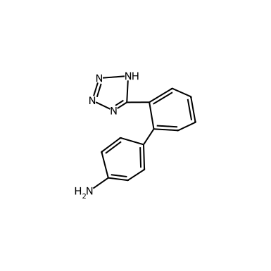 Nc1ccc(-c2ccccc2-c2nnn[nH]2)cc1